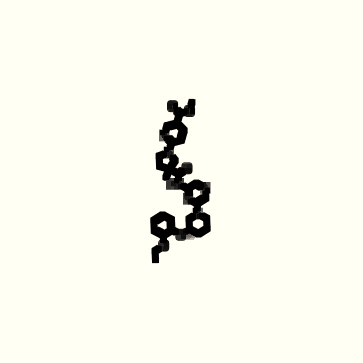 CCOc1ccccc1O[C@@H]1CCCN(c2cncc(NC(=O)C3(C)CCN(c4ccc(C(=O)OC)cn4)C3)n2)C1